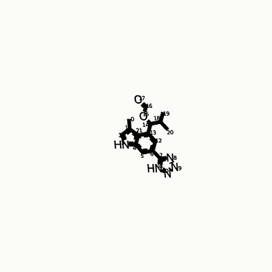 Cc1c[nH]c2cc(-c3nnn[nH]3)cc(C(OC=O)C(C)C)c12